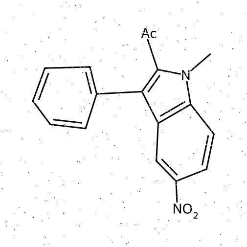 CC(=O)c1c(-c2ccccc2)c2cc([N+](=O)[O-])ccc2n1C